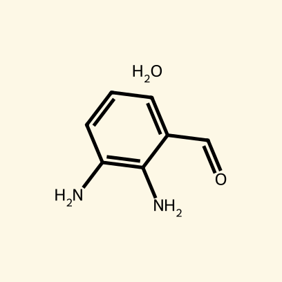 Nc1cccc(C=O)c1N.O